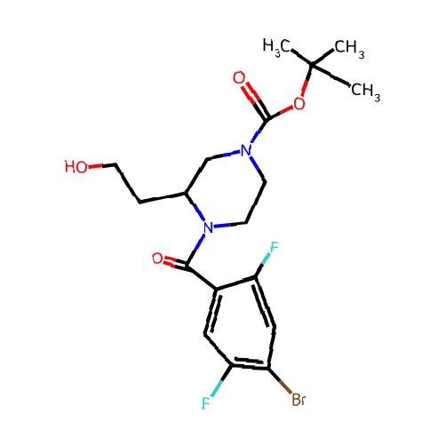 CC(C)(C)OC(=O)N1CCN(C(=O)c2cc(F)c(Br)cc2F)C(CCO)C1